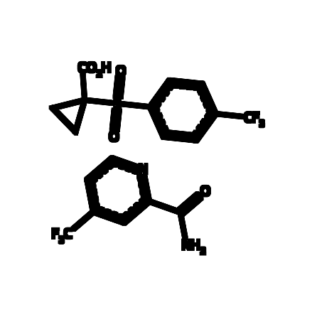 NC(=O)c1cc(C(F)(F)F)ccn1.O=C(O)C1(S(=O)(=O)c2ccc(C(F)(F)F)cc2)CC1